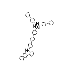 c1ccc(-c2ccc(-c3nc(-c4ccc(-c5ccccc5)cc4)nc(-c4ccc(-c5ccc(-c6ccc(-c7nc8cc9ccccc9cc8c8ccccc78)cc6)cc5)cc4)n3)cc2)cc1